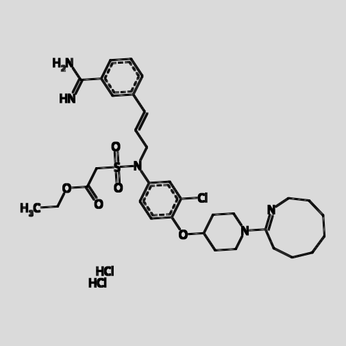 CCOC(=O)CS(=O)(=O)N(C/C=C/c1cccc(C(=N)N)c1)c1ccc(OC2CCN(C3=NCCCCCCC3)CC2)c(Cl)c1.Cl.Cl